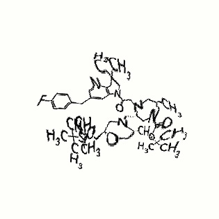 C[C@@H]1CO[C@@H](CO[Si](C)(C)C(C)(C)C)CN1C[C@H]1CN(C(=O)OC(C)(C)C)[C@H](C)CN1CC(=O)N1CC(C)(C)c2ncc(Cc3ccc(F)cc3)cc21